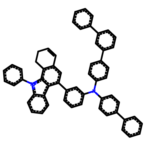 C1=Cc2cc(-c3cccc(N(c4ccc(-c5ccccc5)cc4)c4ccc(-c5cccc(-c6ccccc6)c5)cc4)c3)c3c4ccccc4n(-c4ccccc4)c3c2CC1